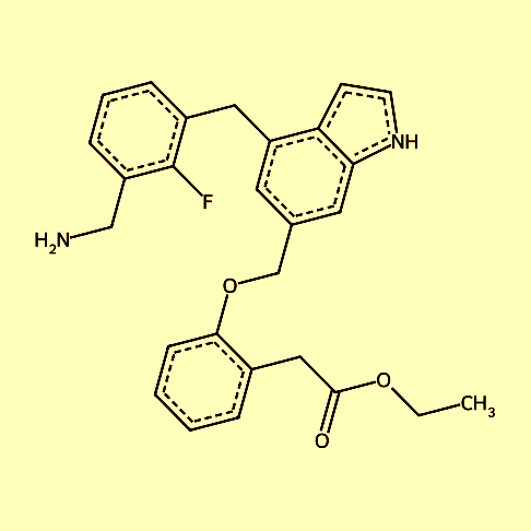 CCOC(=O)Cc1ccccc1OCc1cc(Cc2cccc(CN)c2F)c2cc[nH]c2c1